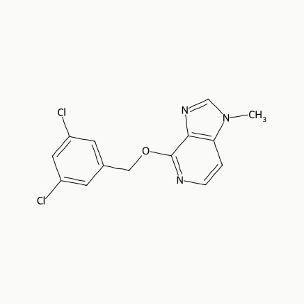 Cn1cnc2c(OCc3cc(Cl)cc(Cl)c3)nccc21